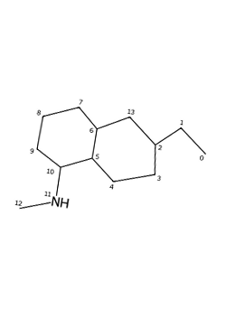 CCC1CCC2C(CCCC2NC)C1